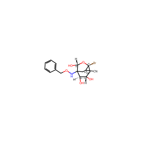 N#C[C@H]1CC2(NOCc3ccccc3)[C@H](O)O[C@]1(Br)C[C@H](O)[C@H]2O